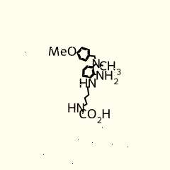 COc1ccc(CN(C)c2cccc(NCCCCNC(=O)O)c2N)cc1